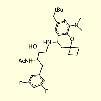 CC(=O)N[C@@H](Cc1cc(F)cc(F)c1)[C@H](O)CN[C@H]1CC2(CCC2)Oc2c1cc(CC(C)(C)C)nc2N(C)C